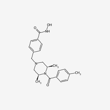 Cc1ccc(C(=O)N2[C@H](C)CN(Cc3ccc(C(=O)NO)cc3)C[C@@H]2C)cc1